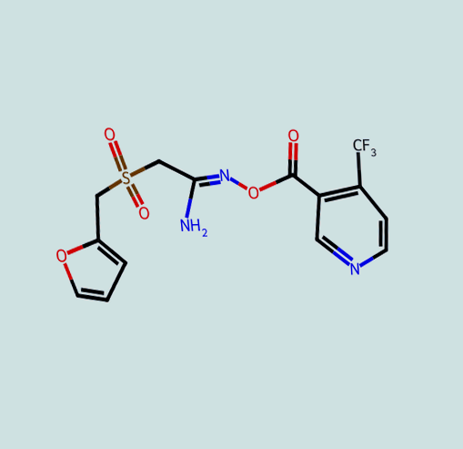 NC(CS(=O)(=O)Cc1ccco1)=NOC(=O)c1cnccc1C(F)(F)F